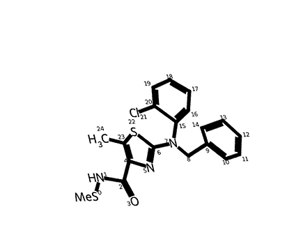 CSNC(=O)c1nc(N(Cc2ccccc2)c2ccccc2Cl)sc1C